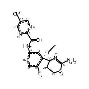 CC[C@@]1(c2cc(NC(=O)c3ncc(Cl)cn3)ccc2F)CCSC(N)=N1